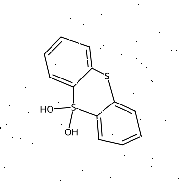 OS1(O)c2ccccc2Sc2ccccc21